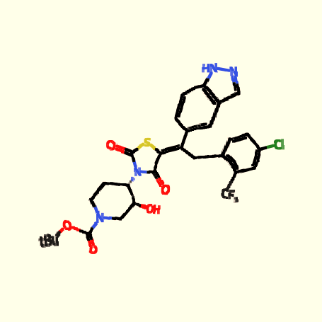 CC(C)(C)OC(=O)N1CC[C@H](N2C(=O)S/C(=C(/Cc3ccc(Cl)cc3C(F)(F)F)c3ccc4[nH]ncc4c3)C2=O)[C@@H](O)C1